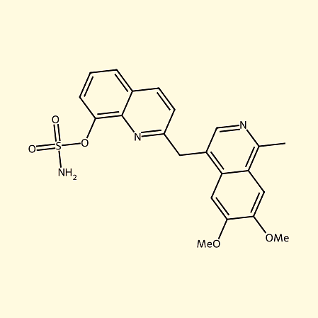 COc1cc2c(Cc3ccc4cccc(OS(N)(=O)=O)c4n3)cnc(C)c2cc1OC